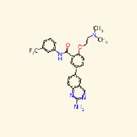 CN(C)CCOc1ccc(-c2ccc3nc(N)ncc3c2)cc1C(=O)Nc1cccc(C(F)(F)F)c1